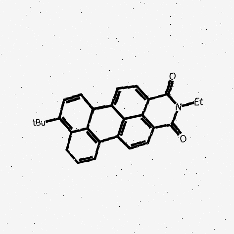 CCN1C(=O)c2ccc3c4c(ccc(c24)C1=O)C1C=CC(C(C)(C)C)=C2CC=CC3=C21